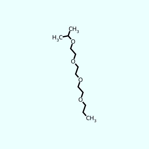 CCCOCCOCCOCCOC(C)C